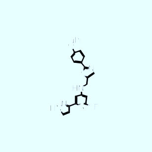 CC(C)Oc1ccc(-c2ncc(CNc3cc(-c4cc[nH]n4)nc(C(F)(F)F)c3)s2)cc1